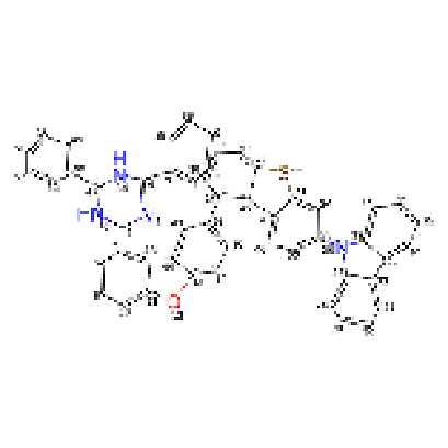 c1ccc(C2=NC(c3cccc4oc5ccc(-c6cccc7sc8cc(-n9c%10ccccc%10c%10ccccc%109)ccc8c67)cc5c34)NC(c3ccccc3)N2)cc1